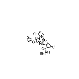 CC(C)(C)NC(=O)c1cc(Cl)cc(Br)c1NC(=O)c1cc(Oc2ccsc2)nn1-c1ncccc1Cl